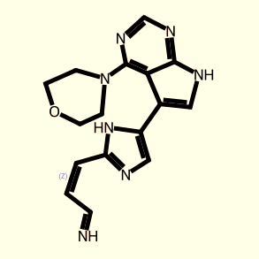 N=C/C=C\c1ncc(-c2c[nH]c3ncnc(N4CCOCC4)c23)[nH]1